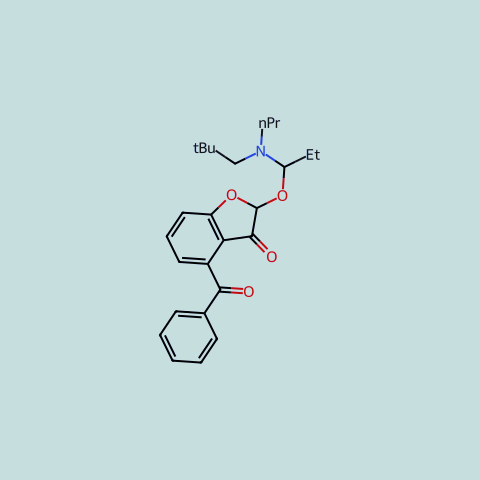 CCCN(CC(C)(C)C)C(CC)OC1Oc2cccc(C(=O)c3ccccc3)c2C1=O